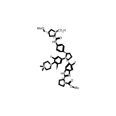 COC[C@H]1C[C@@H](C(=O)Nc2ccc([C@H]3CC[C@H](c4cc5[nH]c([C@@H]6CCCN6C(=O)OC(C)(C)C)nc5cc4F)N3c3cc(F)c(N4CC[Si](C)(C)CC4)c(F)c3)cc2)N(C(=O)O)C1